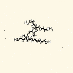 C=CCOCC(OCC=C)(OCC=C)OCC=C.OCCOCCOCCOCCO